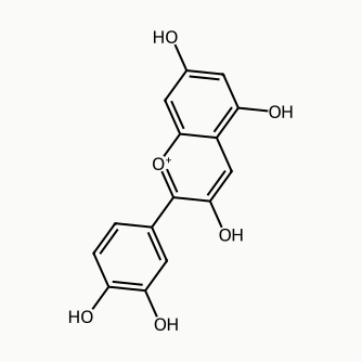 Oc1cc(O)c2cc(O)c(-c3ccc(O)c(O)c3)[o+]c2c1